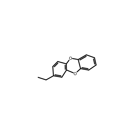 CCc1ccc2c(c1)Oc1ccccc1O2